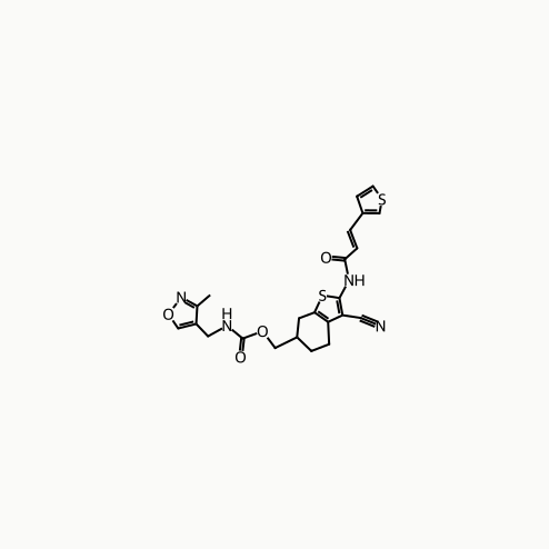 Cc1nocc1CNC(=O)OCC1CCc2c(sc(NC(=O)C=Cc3ccsc3)c2C#N)C1